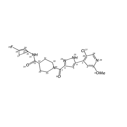 COc1cc(-c2cc(C(=O)N3CCC(C(=O)NC45CC(F)(C4)C5)CC3)n[nH]2)c(Cl)cn1